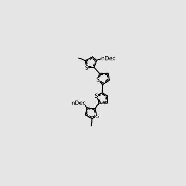 CCCCCCCCCCc1cc(C)sc1-c1ccc(-c2ccc(-c3sc(C)cc3CCCCCCCCCC)s2)s1